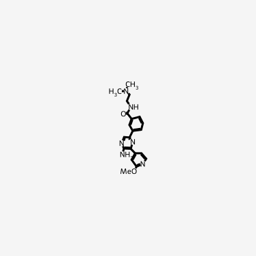 COc1cc(-c2nc(-c3cccc(C(=O)NCCN(C)C)c3)cnc2N)ccn1